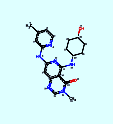 Cc1ccnc(Nc2cc3ncn(C)c(=O)c3c(N[C@H]3CC[C@@H](O)CC3)n2)c1